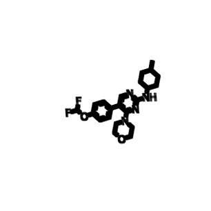 CC1CCC(Nc2ncc(-c3ccc(OC(F)F)cc3)c(N3CCOCC3)n2)CC1